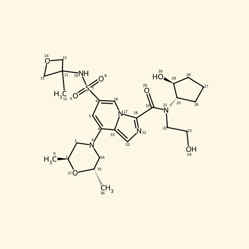 C[C@H]1CN(c2cc(S(=O)(=O)NC3(C)COC3)cn3c(C(=O)N(CCO)[C@H]4CCC[C@@H]4O)ncc23)C[C@H](C)O1